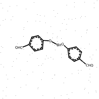 O=Cc1ccc(OBOc2ccc(C=O)cc2)cc1